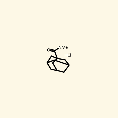 CNC(=O)C12CC3CC(CC(C3)C1)C2.Cl